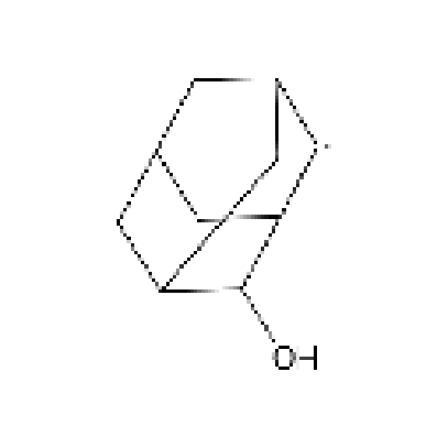 OC1C2[CH]C3CC(C2)CC1C3